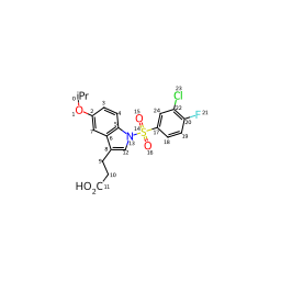 CC(C)Oc1ccc2c(c1)c(CCC(=O)O)cn2S(=O)(=O)c1ccc(F)c(Cl)c1